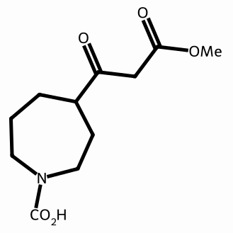 COC(=O)CC(=O)C1CCCN(C(=O)O)CC1